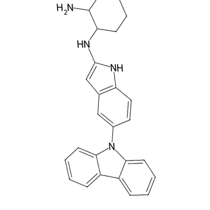 NC1CCCCC1Nc1cc2cc(-n3c4ccccc4c4ccccc43)ccc2[nH]1